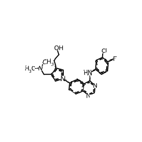 CN(C)Cc1cn(-c2ccc3ncnc(Nc4ccc(F)c(Cl)c4)c3c2)cc1CCO